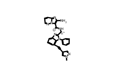 C[C@@H](NC(=O)c1c(N)nc2cccnn12)c1nc2cccc(C#Cc3cnn(C)c3)c2n1-c1ccccc1